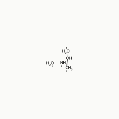 CO.N.O.O